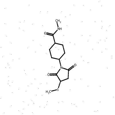 CNC(=O)C1CCC(N2C(=O)CC(SC)C2=O)CC1